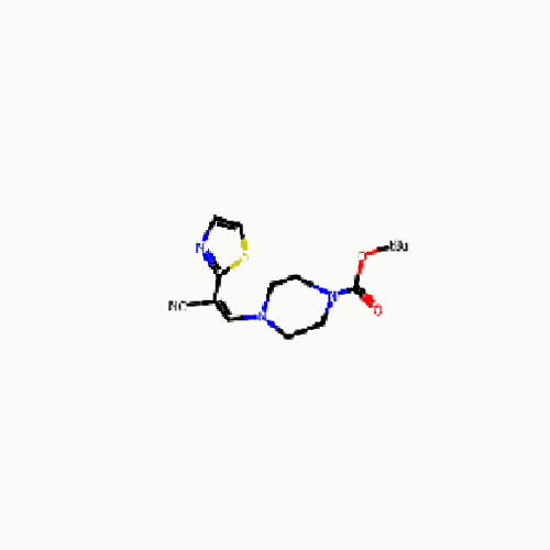 CC(C)(C)OC(=O)N1CCN(C=C(C#N)c2nccs2)CC1